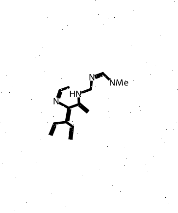 C=CC(C=C)=C(/N=C\C)C(=C)NC/N=C\NC